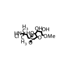 COC1OC(CS(=O)(=O)CCC(C)(C)NCl)C(O)C(O)C1O